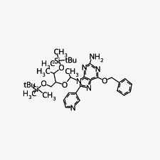 CC(O[Si](C)(C)C(C)(C)C)C(CO[Si](C)(C)C(C)(C)C)OC(C)n1c(-c2cccnc2)nc2c(OCc3ccccc3)nc(N)nc21